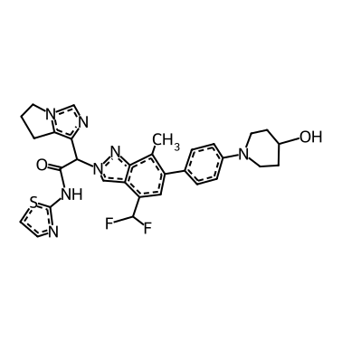 Cc1c(-c2ccc(N3CCC(O)CC3)cc2)cc(C(F)F)c2cn(C(C(=O)Nc3nccs3)c3ncn4c3CCC4)nc12